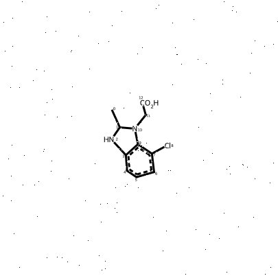 CC1Nc2cccc(Cl)c2N1CC(=O)O